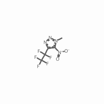 Cn1nnc(C(F)(F)C(F)(F)F)c1[N+](=O)[O-]